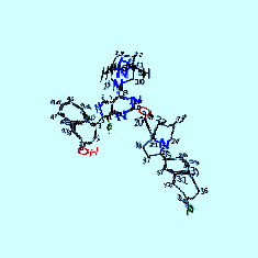 Oc1cc(-c2ncc3c(N4C[C@H]5CC[C@@H](C4)N5)nc(OCC45CCCN4C(c4ccc6c(c4)CC(F)C6)CC5)nc3c2F)c2ccccc2c1